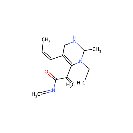 C=NC(=O)C(=C)C1=C(/C=C\C)CNC(C)N1CC